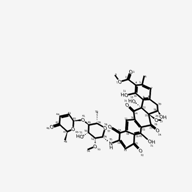 COC(=O)c1c(C)cc2c(c1O)[C@]1(O)C(=O)c3cc4c(c(O)c3C(=O)[C@@]1(OC)[C@H](O)C2)C(=O)C=C(N[C@H]1O[C@@H](C)[C@H](O[C@@H]2C=CC(=O)[C@H](C)O2)[C@@H](O)[C@H]1OC)C4=O